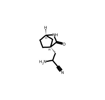 N#CC(N)C[C@]12CC[C@H](C1)NC2=O